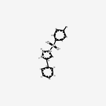 Cc1ccc(S(=O)(=O)n2cc(-c3ccccc3)nn2)cc1